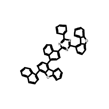 c1ccc(-c2nc(-c3ccc(-c4ccc(-c5cccc6ccccc56)c5oc6ccccc6c45)c4ccccc34)nc(-c3cccc4oc5ccccc5c34)n2)cc1